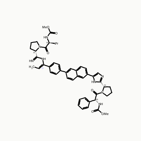 C/C=C(\NC(=N)[C@@H]1CCCN1C(=O)[C@@H](NC(=O)OC)C(C)C)c1ccc(-c2ccc3cc(-c4cnc([C@@H]5CCCN5C(=O)[C@H](NC(=O)OC)c5ccccc5)[nH]4)ccc3c2)cc1